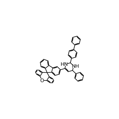 C1=C(c2ccc3c(c2)-c2ccccc2C32c3ccccc3Oc3ccccc32)NC(c2ccc(-c3ccccc3)cc2)NC1c1ccccc1